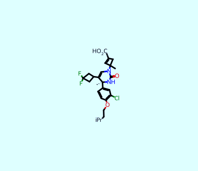 CC(C)CCOc1ccc([C@]2(C)NC(=O)N(C3(C)C=C(C(=O)O)C3)C=C2C2CC(F)(F)C2)cc1Cl